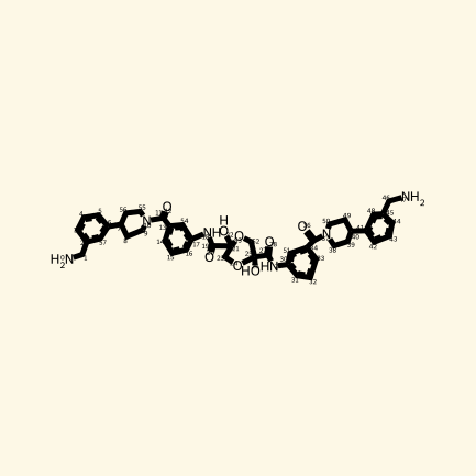 NCc1cccc(C2CCN(C(=O)c3cccc(NC(=O)C4(O)COC(O)(C(=O)Nc5cccc(C(=O)N6CCC(c7cccc(CN)c7)CC6)c5)CO4)c3)CC2)c1